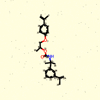 C=C(C)c1ccc(OCC(C)OC(=O)NC(C)(C)c2cccc(C(=C)C)c2)cc1